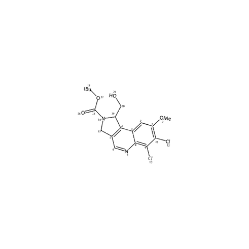 COc1cc2c3c(cnc2c(Cl)c1Cl)CN(C(=O)OC(C)(C)C)C3CO